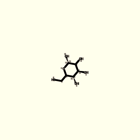 OC1[C@@H](O)[C@H](O)C(CS)O[C@@H]1O